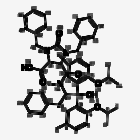 Cc1ccc(OC(C)C)c(C(O)(c2cc(C)ccc2OC(C)C)C(Cc2ccccc2)N(C)C(=O)C2C(C(=O)O)N(Cc3ccccc3)C(=O)N2Cc2ccccc2)c1